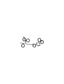 CCOC(=O)C(CCCCOc1ccc2c(c1)OCO2)C(=O)CC